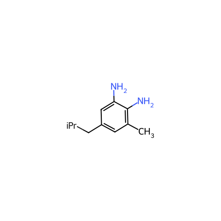 Cc1cc(CC(C)C)cc(N)c1N